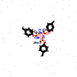 COP1(Oc2ccc(C)cc2)=N[PH](OC)(Oc2ccc(C)cc2)N[PH](OC)(Oc2ccc(C)cc2)N1